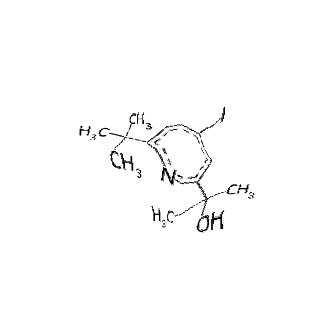 CC(C)(C)c1cc(I)cc(C(C)(C)O)n1